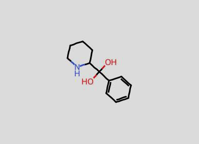 OC(O)(c1ccccc1)C1CCCCN1